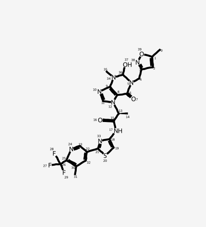 Cc1cc(CN2C(=O)c3c(ncn3[C@@H](C)C(=O)Nc3csc(-c4cnc(C(F)(F)F)c(C)c4)n3)N(C)C2O)no1